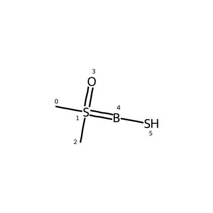 CS(C)(=O)=BS